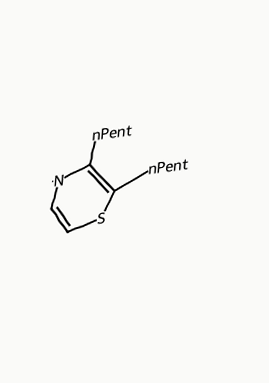 CCCCCC1=C(CCCCC)SC=C[N]1